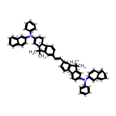 CC1(C)c2cc(/C=C/c3ccc4c(c3)C(C)(C)C3C=C(N(c5ccccc5)c5ccc6ccccc6c5)C=CC43)ccc2-c2ccc(N(c3ccccc3)c3ccc4ccccc4c3)cc21